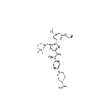 COc1cc(OCF)cc(-c2nc(NC(=O)c3cnc(N4CCC(C(=O)O)CC4)cn3)sc2CN2CCCC(C)(C)C2)c1